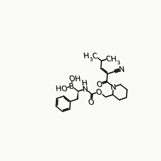 CC(C)C=C(C#N)C(=O)N1CCCCC1COC(=O)N[C@@H](Cc1ccccc1)B(O)O